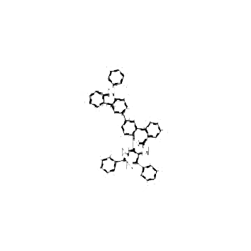 c1ccc(-c2nc(-c3ccccc3)c3nc4c5ccccc5c5cc(-c6ccc7c(c6)c6ccccc6n7-c6ccccc6)ccc5n4c3n2)cc1